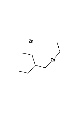 C[CH2][Zn][CH2]C(CC)CC.[Zn]